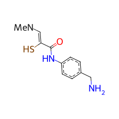 CN/C=C(\S)C(=O)Nc1ccc(CN)cc1